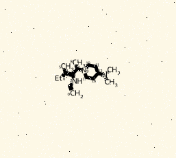 C=CN/C(=C(/C)CC)C(C)N1CCC(N(C)C)CC1